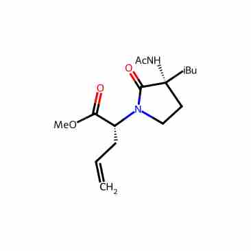 C=CC[C@H](C(=O)OC)N1CC[C@](NC(C)=O)(C(C)CC)C1=O